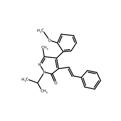 COc1ccccc1-c1c(C)nn(C(C)C)c(=O)c1C=Cc1ccccc1